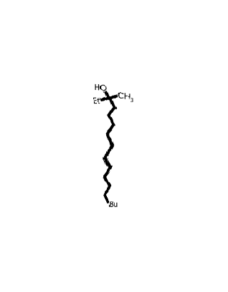 CCC(C)CCCCCCCCCCC(C)(O)CC